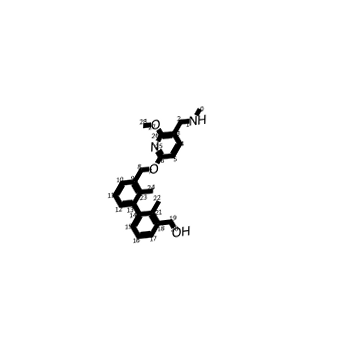 CNCc1ccc(OCc2cccc(-c3cccc(CO)c3C)c2C)nc1OC